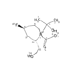 CC(C)(C)[N+]1(C(=O)[O-])C[C@H](F)C[C@H]1CO